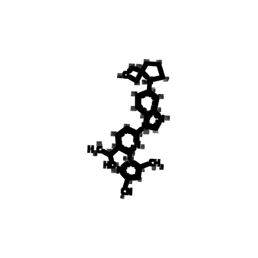 Cc1cc(C#N)nn1-c1nc(-n2cnc3cc(N4CCCC45COC5)ccc32)ccc1C(C)O